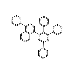 c1ccc(-c2nc(-c3ccccc3)c(-c3ccccc3)c(-c3ccc(-c4ccccc4)c4ccccc34)n2)cc1